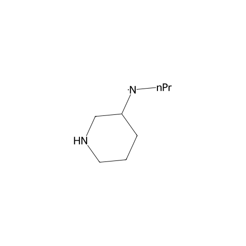 CCC[N]C1CCCNC1